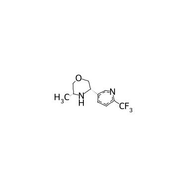 C[C@@H]1COC[C@H](c2ccc(C(F)(F)F)nc2)N1